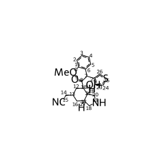 COc1ccccc1C(C(=O)[C@]1(O)C[C@H](CC#N)C[C@H]2CNC[C@H]21)c1ccsc1